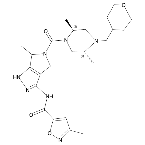 Cc1cc(C(=O)Nc2n[nH]c3c2CN(C(=O)N2C[C@@H](C)N(CC4CCOCC4)C[C@@H]2C)C3C)on1